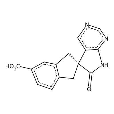 O=C(O)c1ccc2c(c1)C[C@@]1(C2)C(=O)Nc2ncncc21